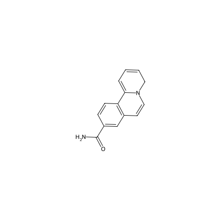 NC(=O)c1ccc2c(c1)C=CN1CC=CC=C21